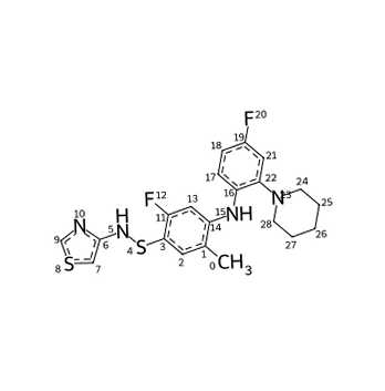 Cc1cc(SNc2cscn2)c(F)cc1Nc1ccc(F)cc1N1CCCCC1